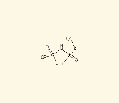 O=P(F)(NS(=O)(=O)F)OC(F)(F)F